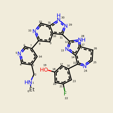 CCNCc1cncc(-c2cc3c(-c4nc5c(-c6cc(O)cc(F)c6)nccc5[nH]4)n[nH]c3cn2)c1